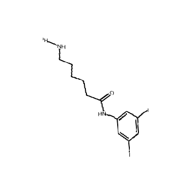 [3H]NCCCCCC(=O)Nc1cc(I)cc(I)c1